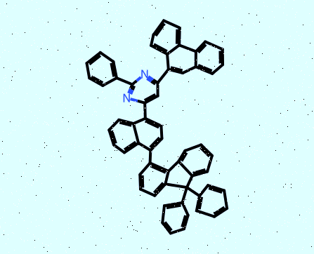 c1ccc(-c2nc(-c3ccc(-c4cccc5c4-c4ccccc4C5(c4ccccc4)c4ccccc4)c4ccccc34)cc(-c3cc4ccccc4c4ccccc34)n2)cc1